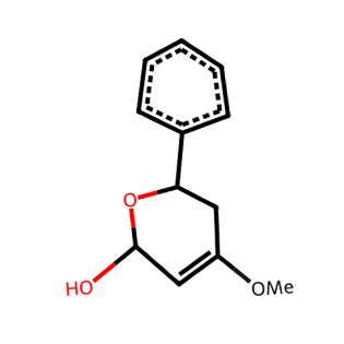 COC1=CC(O)OC(c2ccccc2)C1